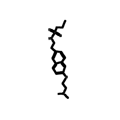 CCCS(=O)(=O)NCCc1ccc2cc(OCCN(C)C)ccc2c1